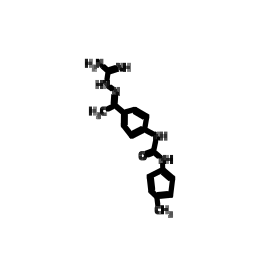 C/C(=N\NC(=N)N)c1ccc(NC(=O)Nc2ccc(C)cc2)cc1